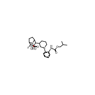 CC(C)COC(=O)Nc1ccccc1N1CCCC(C2C(O)C(F)C3CCC2N3C(=O)O)C1